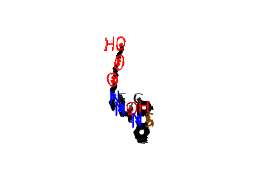 OCCOCCOCCN1CCN(CC(O)CN2c3ccccc3Sc3ccc(C(F)(F)F)cc32)CC1